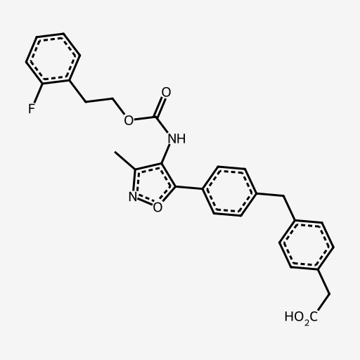 Cc1noc(-c2ccc(Cc3ccc(CC(=O)O)cc3)cc2)c1NC(=O)OCCc1ccccc1F